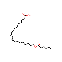 CCCCCC(=O)OCCCCCCC/C=C\C/C=C\CCCCCCCC(=O)O